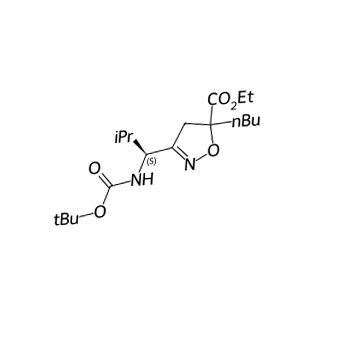 CCCCC1(C(=O)OCC)CC([C@@H](NC(=O)OC(C)(C)C)C(C)C)=NO1